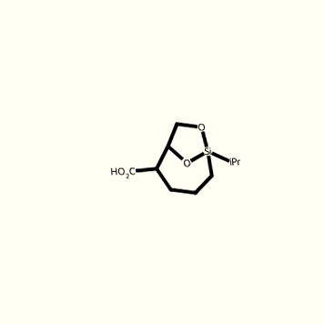 CC(C)[Si]12CCCC(C(=O)O)C(CO1)O2